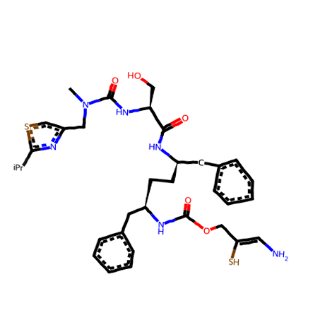 CC(C)c1nc(CN(C)C(=O)N[C@@H](CO)C(=O)N[C@H](CC[C@H](Cc2ccccc2)NC(=O)OC/C(S)=C/N)Cc2ccccc2)cs1